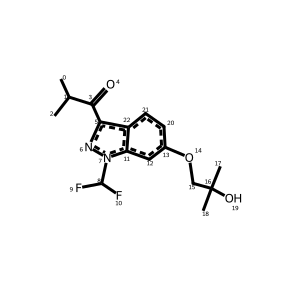 CC(C)C(=O)c1nn(C(F)F)c2cc(OCC(C)(C)O)ccc12